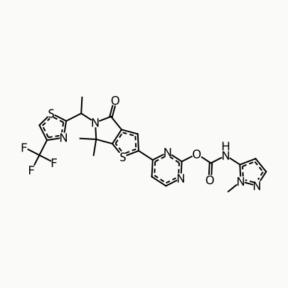 CC(c1nc(C(F)(F)F)cs1)N1C(=O)c2cc(-c3ccnc(OC(=O)Nc4ccnn4C)n3)sc2C1(C)C